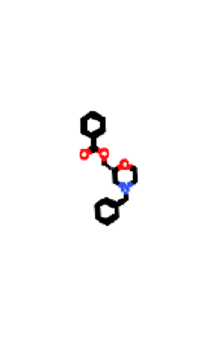 O=C(OC[C@H]1CN(Cc2ccccc2)CCO1)c1ccccc1